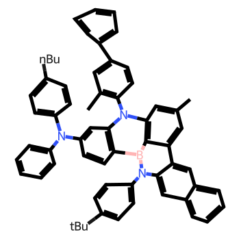 CCCCc1ccc(N(c2ccccc2)c2ccc3c(c2)N(c2ccc(-c4ccccc4)cc2C)c2cc(C)cc4c2B3N(c2ccc(C(C)(C)C)cc2)c2cc3ccccc3cc2-4)cc1